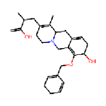 C=C(O)C(C)CC1=C(C)C2CC3=CCC(O)C(OCC4=CCCC=C4)=C3CN2CC1